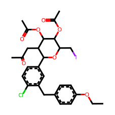 CCOc1ccc(Cc2cc(C3OC(CI)C(OC(C)=O)C(OC(C)=O)C3CC(C)=O)ccc2Cl)cc1